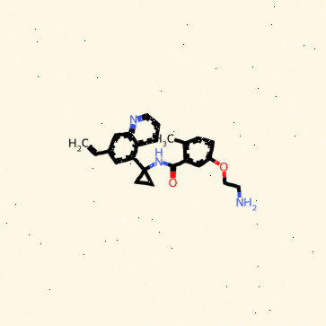 C=Cc1cc(C2(NC(=O)c3cc(OCCN)ccc3C)CC2)c2cccnc2c1